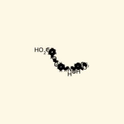 CC1(C)OCc2cc([C@@H](O)CNCCc3ccc(OCCOCc4cccc(C(=O)O)c4)cc3)ccc2O1